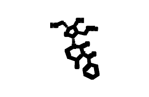 COC[C@@H]1[C@H](O)[C@@H](CO)O[C@H]1n1ccc(=O)n(C(=O)c2ccccc2)c1=O